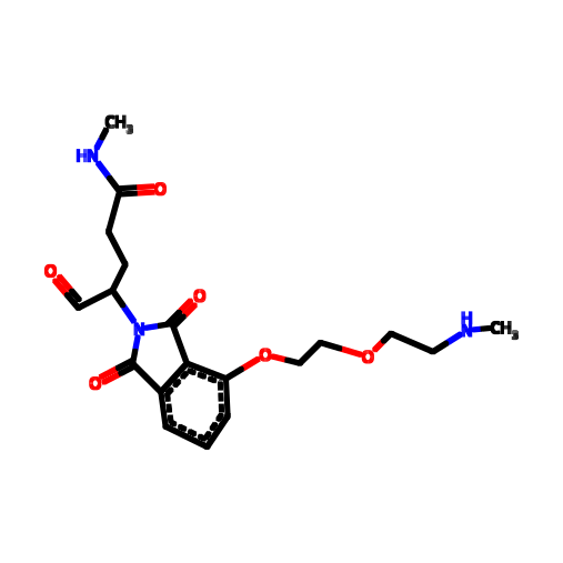 CNCCOCCOc1cccc2c1C(=O)N(C(C=O)CCC(=O)NC)C2=O